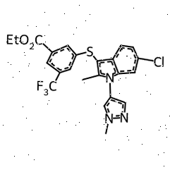 CCOC(=O)c1cc(Sc2c(C)n(-c3cnn(C)c3)c3cc(Cl)ccc23)cc(C(F)(F)F)c1